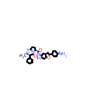 CN[C@@H](C(=O)N1CCC[C@H]1C(=O)Nc1ccc2oc(-c3ccc(N)cc3)cc2c1)c1ccccc1